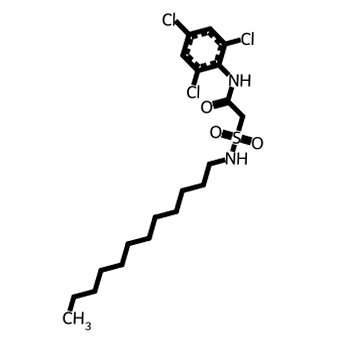 CCCCCCCCCCCCNS(=O)(=O)CC(=O)Nc1c(Cl)cc(Cl)cc1Cl